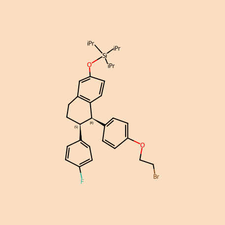 CC(C)[Si](Oc1ccc2c(c1)CC[C@H](c1ccc(F)cc1)[C@@H]2c1ccc(OCCBr)cc1)(C(C)C)C(C)C